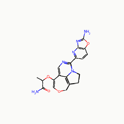 CC(OC1=COCC2=C3C1=CN=C(c1ccc4oc(N)nc4n1)N3CC2)C(N)=O